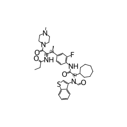 CCC(=O)N[C@@H](C(=O)N1CCN(C)CC1)[C@@H](C)c1ccc(NC(=O)[C@H](C2CCCCCC2)N(C=O)c2csc3ccccc23)c(F)c1